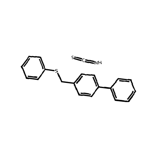 N=C=S.c1ccc(SCc2ccc(-c3ccccc3)cc2)cc1